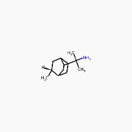 C[C@@H]1CC2CCC1CC2C(C)(C)N